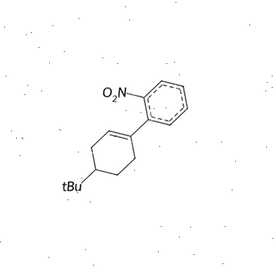 CC(C)(C)C1CC=C(c2ccccc2[N+](=O)[O-])CC1